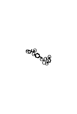 CCC(C)(COC)C(=O)Oc1ccc(COC(=O)ON2C(=O)CCC2=O)cc1